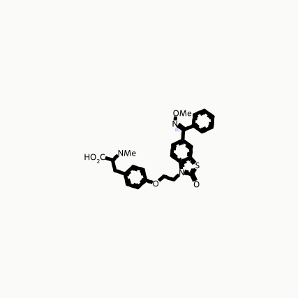 CNC(Cc1ccc(OCCn2c(=O)sc3cc(/C(=N/OC)c4ccccc4)ccc32)cc1)C(=O)O